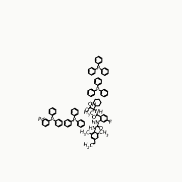 C=Cc1cc(C)c(NC(=O)Nc2cc(F)ccc2C(=O)NC(C)(C(=O)O)C2CCCCC2)c(C)c1.[Pd].c1ccc(P(c2ccccc2)c2ccccc2)cc1.c1ccc(P(c2ccccc2)c2ccccc2)cc1.c1ccc(P(c2ccccc2)c2ccccc2)cc1.c1ccc(P(c2ccccc2)c2ccccc2)cc1